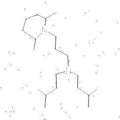 CC(C)CCN(CCCN1C(C)CCCC1C)CCC(C)C